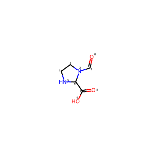 O=CN1CCNC1C(=O)O